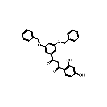 O=C(CC(=O)c1ccc(O)cc1O)c1cc(OCc2ccccc2)cc(OCc2ccccc2)c1